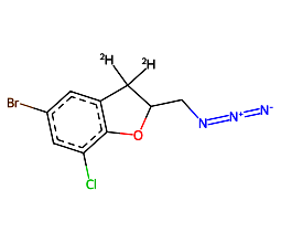 [2H]C1([2H])c2cc(Br)cc(Cl)c2OC1CN=[N+]=[N-]